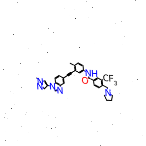 Cc1ccc(NC(=O)c2ccc(CN3CCCC3)c(C(F)(F)F)c2)cc1C#Cc1ccc2c(c1)ncn2-c1cnn(C)c1